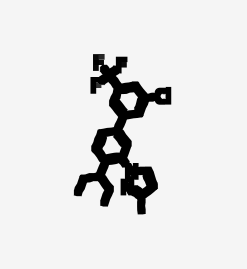 CCC(CC)c1ccc(-c2cc(Cl)cc(C(F)(F)F)c2)cc1-n1ccc(C)n1